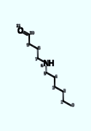 CCCCCCNCCCC=O